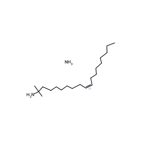 CCCCCCCC/C=C\CCCCCCCC(C)(C)N.N